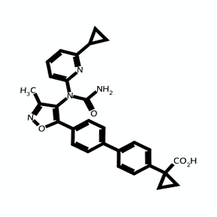 Cc1noc(-c2ccc(-c3ccc(C4(C(=O)O)CC4)cc3)cc2)c1N(C(N)=O)c1cccc(C2CC2)n1